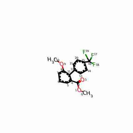 COC(=O)c1cccc(OC)c1-c1ccc(C(F)(F)F)cc1